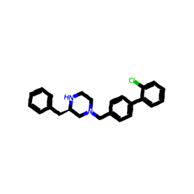 Clc1ccccc1-c1ccc(CN2CCN[C@H](Cc3ccccc3)C2)cc1